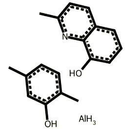 Cc1ccc(C)c(O)c1.Cc1ccc2cccc(O)c2n1.[AlH3]